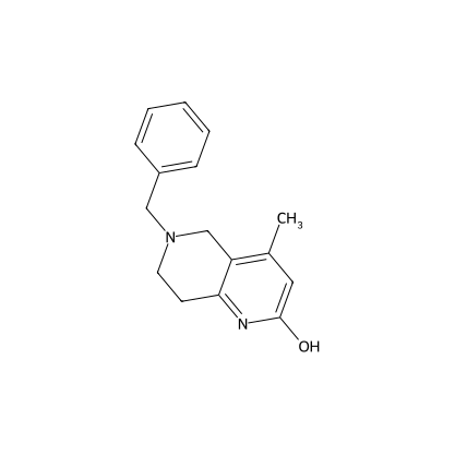 Cc1cc(O)nc2c1CN(Cc1ccccc1)CC2